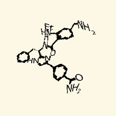 CCNc1cc(CN)ccc1C(=O)N[C@@H](Cc1ccccc1)c1nc(-c2ccc(C(N)=O)cc2)c[nH]1